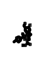 Cc1ccc(S(=O)(=O)n2c(CNC(=O)O)cc3cc(Cl)c(C=O)cc32)cc1